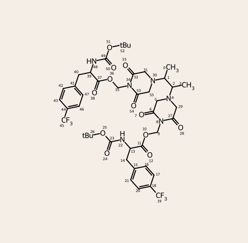 CC(C(C)N1CC(=O)N(COC(=O)C(Cc2ccc(C(F)(F)F)cc2)NC(=O)OC(C)(C)C)C(=O)C1)N1CC(=O)N(COC(=O)C(Cc2ccc(C(F)(F)F)cc2)NC(=O)OC(C)(C)C)C(=O)C1